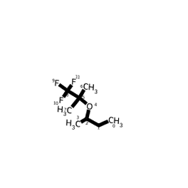 CCC(C)OC(C)(C)C(F)(F)F